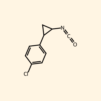 O=C=NC1CC1c1ccc(Cl)cc1